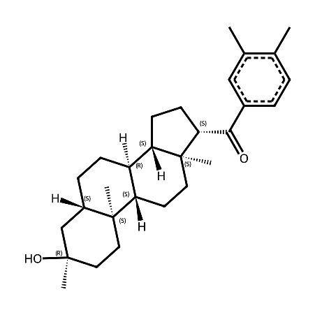 Cc1ccc(C(=O)[C@H]2CC[C@H]3[C@@H]4CC[C@H]5C[C@](C)(O)CC[C@]5(C)[C@H]4CC[C@]23C)cc1C